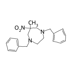 CC1([N+](=O)[O-])CN(Cc2ccccc2)CCN(Cc2ccccc2)C1